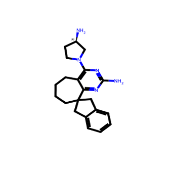 Nc1nc(N2CC[C@@H](N)C2)c2c(n1)C1(CCCC2)Cc2ccccc2C1